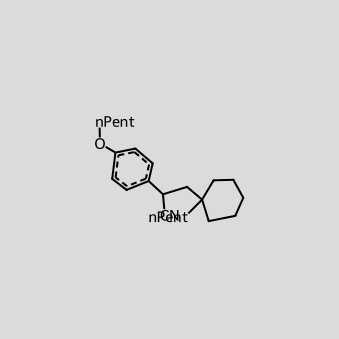 CCCCCOc1ccc(C(C#N)CC2(CCCCC)CCCCC2)cc1